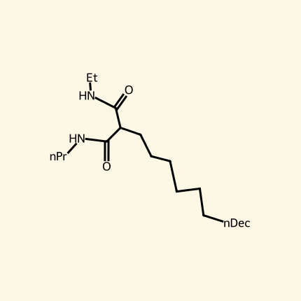 CCCCCCCCCCCCCCCCC(C(=O)NCC)C(=O)NCCC